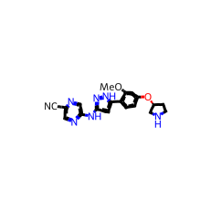 COc1cc(O[C@H]2CCNC2)ccc1-c1cc(Nc2cnc(C#N)cn2)n[nH]1